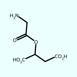 NCC(=O)OC(CC(=O)O)C(=O)O